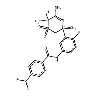 CC1(C)C(N)=N[C@](C)(c2cc(NC(=O)c3ccc(C(F)F)cn3)cnc2F)CS1(=O)=O